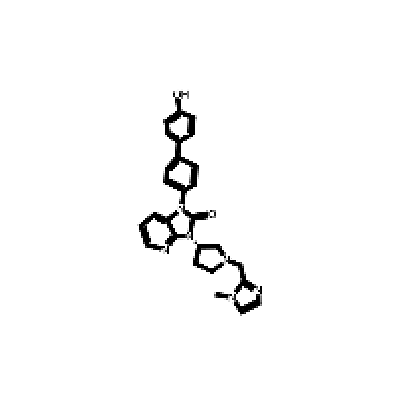 Cn1ccnc1CN1CC[C@H](n2c(=O)n(-c3ccc(-c4ccc(O)cc4)cc3)c3cccnc32)C1